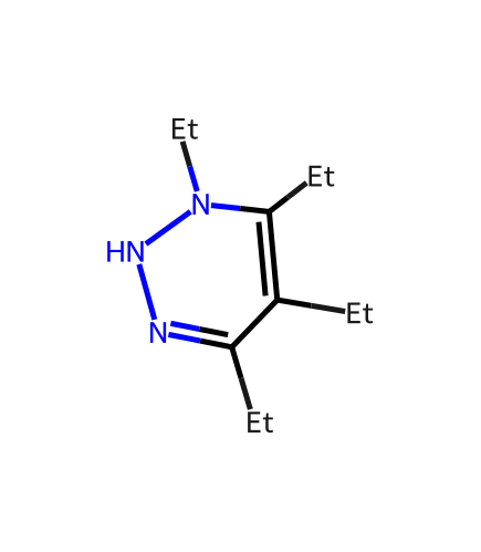 CCC1=NNN(CC)C(CC)=C1CC